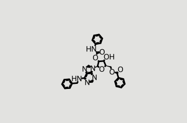 O=C(Nc1ccccc1)OC1C(O)[C@@H](COC(=O)c2ccccc2)O[C@H]1n1cnc2c(NCc3ccccc3)ncnc21